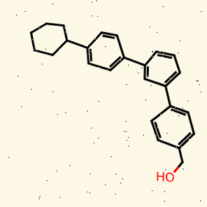 OCc1ccc(-c2cc[c]c(-c3ccc(C4CCCCC4)cc3)c2)cc1